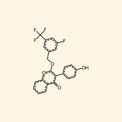 O=c1c(-c2ccc(O)cc2)c(OCc2cc(F)cc(C(F)(F)F)c2)oc2ccccc12